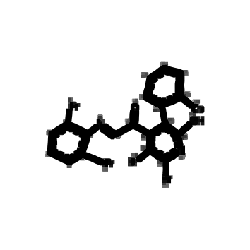 CC(C)c1cccc(C(C)C)c1N=CC(=O)c1c(Br)c(Br)nc(O)c1-c1cccc[c]1[Co]